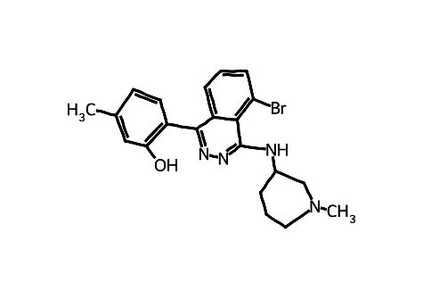 Cc1ccc(-c2nnc(NC3CCCN(C)C3)c3c(Br)cccc23)c(O)c1